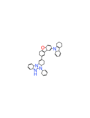 C1=CCC(N2C3CCC(C4=CC5=C(CC4)OC4C=CC(N6C7=C(CCCC7)C7C=CC=CC76)=CC54)=CC3N3C4C=CC=CC4NC32)C=C1